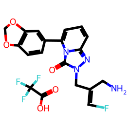 NC/C(=C\F)Cn1nc2cccc(-c3ccc4c(c3)OCO4)n2c1=O.O=C(O)C(F)(F)F